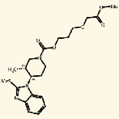 CSc1nc2ccccc2n1[C@@H]1CCN(C(=O)OCCCOCC(=O)OC(C)(C)C)C[C@H]1C